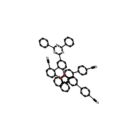 N#Cc1ccc(-c2ccc3c(c2)c2ccccc2n3-c2ccc(-c3nc(-c4ccccc4)nc(-c4ccccc4)n3)cc2-c2c(C#N)cccc2-n2c3ccccc3c3cc(-c4ccc(C#N)cc4)ccc32)cc1